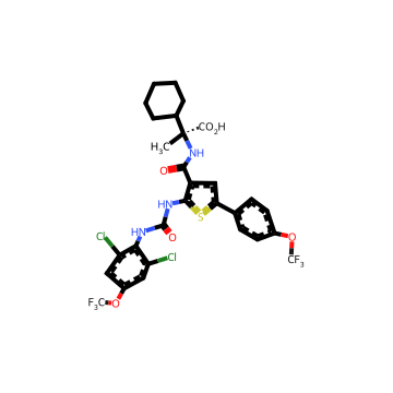 C[C@@](NC(=O)c1cc(-c2ccc(OC(F)(F)F)cc2)sc1NC(=O)Nc1c(Cl)cc(OC(F)(F)F)cc1Cl)(C(=O)O)C1CCCCC1